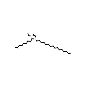 CCCCCCCCCCCCCCCCN1C=CN(CC)C1CCCCCCCC